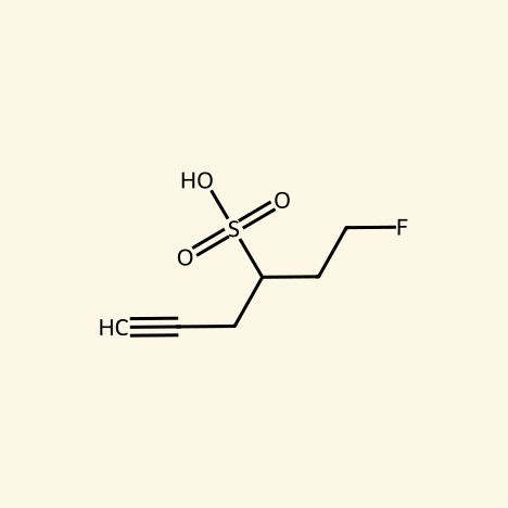 C#CCC(CCF)S(=O)(=O)O